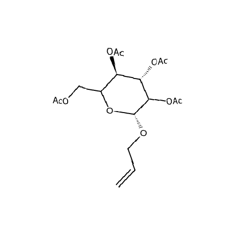 C=CCO[C@@H]1OC(COC(C)=O)[C@@H](OC(C)=O)[C@H](OC(C)=O)C1OC(C)=O